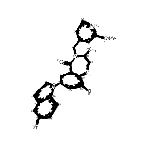 COc1cc(CN2C(=O)c3cc(-n4ccc5cc(F)ccc54)cc(Cl)c3OCC2C(F)(F)F)ccn1